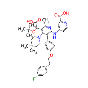 Cc1nc(Nc2ccnc(C(=O)O)c2)c(-c2ccc(OCCc3ccc(F)cc3)cc2)c(N2CCC(C)(C)CC2)c1C(OC(C)(C)C)C(=O)O